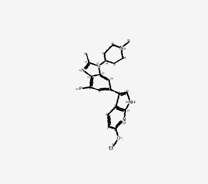 CCOc1ccc2c(-c3cc(F)c4nc(C)n(C5CCN(C)CC5)c4c3)c[nH]c2n1